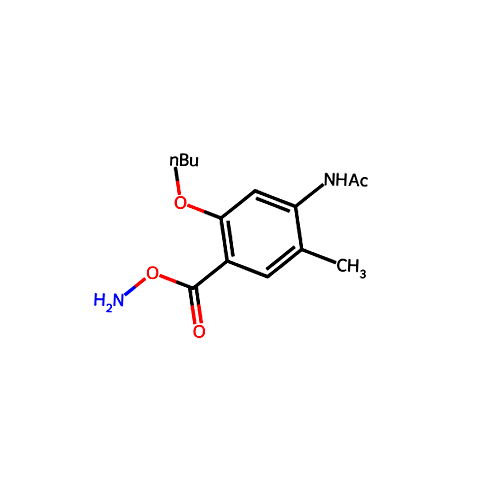 CCCCOc1cc(NC(C)=O)c(C)cc1C(=O)ON